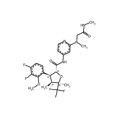 CNC(=O)CN(C)c1cc(NC(=O)[C@@H]2O[C@@](C)(C(F)(F)F)[C@@H](C)[C@H]2c2ccc(F)c(F)c2OC)ccn1